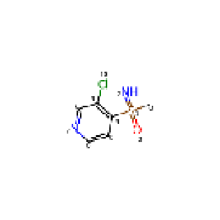 CS(=N)(=O)c1ccncc1Cl